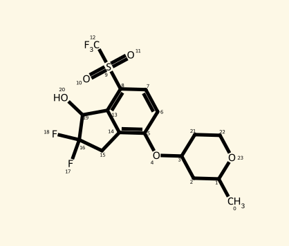 CC1CC(Oc2ccc(S(=O)(=O)C(F)(F)F)c3c2CC(F)(F)C3O)CCO1